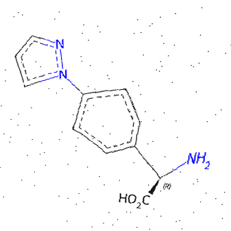 N[C@@H](C(=O)O)c1ccc(-n2cccn2)cc1